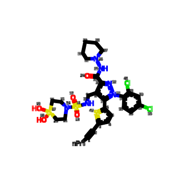 CCCC#Cc1ccc(-c2c(CNS(=O)(=O)N3CCS(O)(O)CC3)c(C(=O)NN3CCCCC3)nn2-c2ccc(Cl)cc2Cl)s1